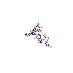 C[C@@H]1CN2c3c(cc4c(N5C(=O)OC[C@H]5CN)noc4c3F)CC3(C(=O)NC(=O)NC3=O)[C@H]2[C@H](C)O1